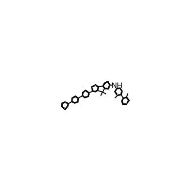 Cc1ccccc1-c1ccc(Nc2ccc3c(c2)C(C)(C)c2cc(-c4ccc(-c5ccc(-c6ccccc6)cc5)cc4)ccc2-3)cc1C